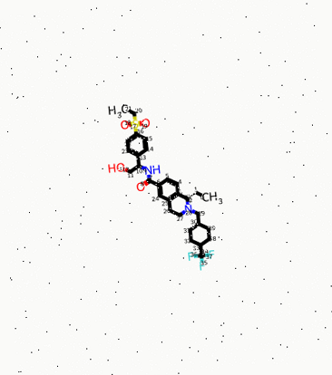 CC[C@H]1c2ccc(C(=O)NC(CO)c3ccc(S(=O)(=O)CC)cc3)cc2CCN1CC1CCC(C(F)(F)F)CC1